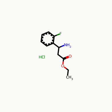 CCOC(=O)CC(N)c1ccccc1F.Cl